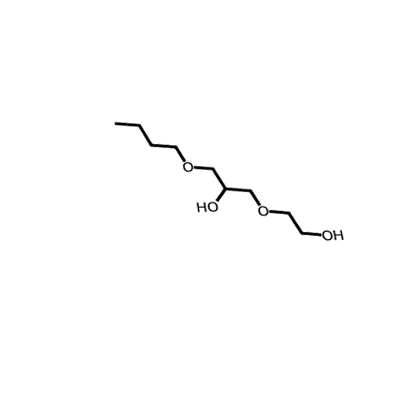 CCCCOCC(O)COCCO